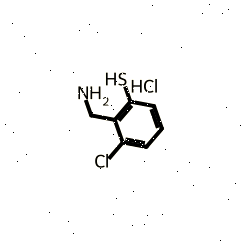 Cl.NCc1c(S)cccc1Cl